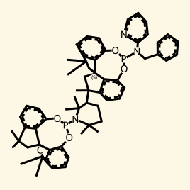 CC1(C)CC23CC(C)(C)c4cccc(c42)OP(N2C(C)(C)CCC(C4(C)C[C@@]56CC(C)(C)c7cccc(c75)OP(N(Cc5ccccc5)c5ccccn5)Oc5cccc4c56)C2(C)C)Oc2cccc1c23